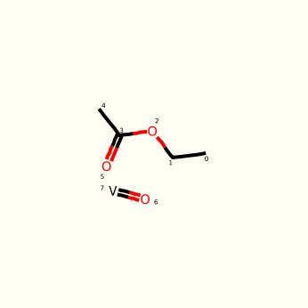 CCOC(C)=O.[O]=[V]